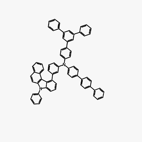 c1ccc(-c2ccc(-c3ccc(N(c4ccc(-c5cc(-c6ccccc6)cc(-c6ccccc6)c5)cc4)c4cccc(-c5cccc6c5c5c7ccccc7ccc5n6-c5ccccc5)c4)cc3)cc2)cc1